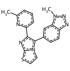 Cc1cccc(-c2nc3sccn3c2-c2ccc3nnn(C)c3c2)n1